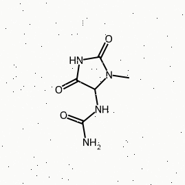 CN1C(=O)NC(=O)C1NC(N)=O